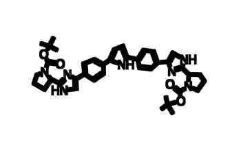 CC(C)(C)OC(=O)N1CCCC1c1nc(-c2ccc(-c3ccc(-c4ccc(-c5c[nH]c(C6CCCN6C(=O)OC(C)(C)C)n5)cc4)[nH]3)cc2)c[nH]1